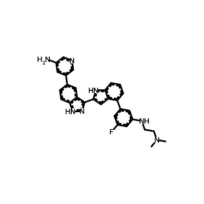 CN(C)CCNc1cc(F)cc(-c2cccc3[nH]c(-c4n[nH]c5ccc(-c6cncc(N)c6)cc45)cc23)c1